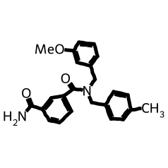 COc1cccc(CN(Cc2ccc(C)cc2)C(=O)c2cccc(C(N)=O)c2)c1